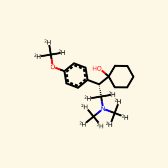 [2H]C([2H])([2H])Oc1ccc([C@H](C2(O)CCCCC2)C([2H])([2H])N(C([2H])([2H])[2H])C([2H])([2H])[2H])cc1